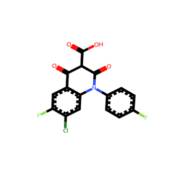 O=C(O)C1C(=O)c2cc(F)c(Cl)cc2N(c2ccc(F)cc2)C1=O